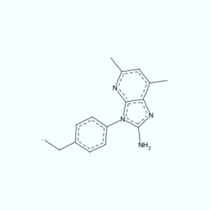 [CH2]Cc1ccc(-n2c(N)nc3c(C)cc(C)nc32)cc1